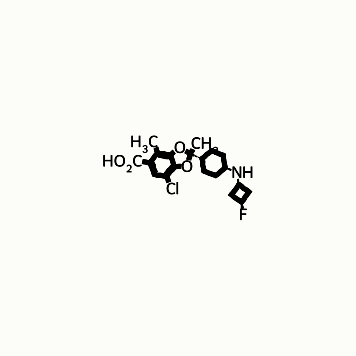 Cc1c(C(=O)O)cc(Cl)c2c1OC(C)([C@H]1CC[C@@H](N[C@H]3C[C@H](F)C3)CC1)O2